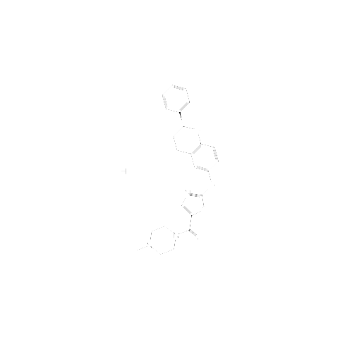 CN1CCN(C(=O)c2cnc(Oc3ccc4c(c3)CC[C@@H](c3ccccc3)O4)s2)CC1.Cl